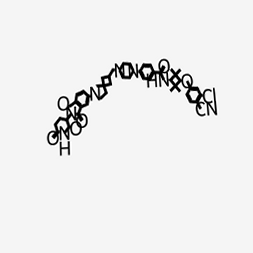 CC1(C)[C@H](NC(=O)c2ccc(N3CCN(CC4CC5(CCN(c6ccc7c(c6)C(=O)N(C6CCC(=O)NC6=O)C7=O)C5)C4)CC3)cc2)C(C)(C)[C@H]1Oc1ccc(C#N)c(Cl)c1